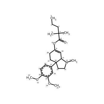 CCCC(C)(C)C(=O)OC1=CC2N(C)CCC2(c2ccc(OC)c(OC)c2)CC1